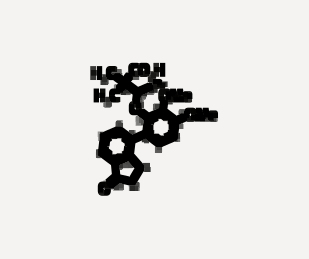 COc1ccc(-c2cccc3c2CCC3=O)c(OC(C(C)C)C(C)(C)C(=O)O)c1OC